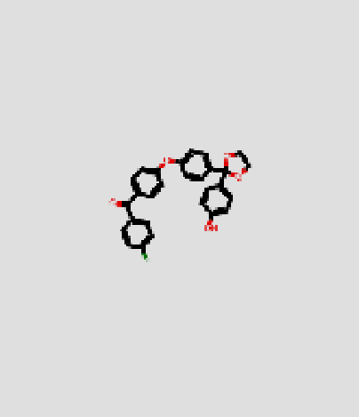 O=C(c1ccc(F)cc1)c1ccc(Oc2ccc(C3(c4ccc(O)cc4)OCCO3)cc2)cc1